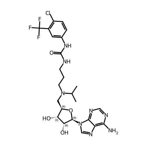 CC(C)N(CCCNC(=O)Nc1ccc(Cl)c(C(F)(F)F)c1)C[C@H]1O[C@@H](n2cnc3c(N)ncnc32)[C@H](O)[C@@H]1O